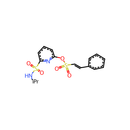 CC(C)NS(=O)(=O)c1cccc(OS(=O)(=O)C=Cc2ccccc2)n1